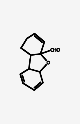 O=CC12C=CCCC1C1C=CC=CC1O2